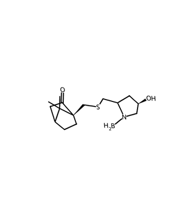 BN1C[C@H](O)CC1CSC[C@]12CCC(CC1=O)C2(C)C